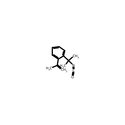 C=C(C)c1ccccc1C(C)(C)N=C=O